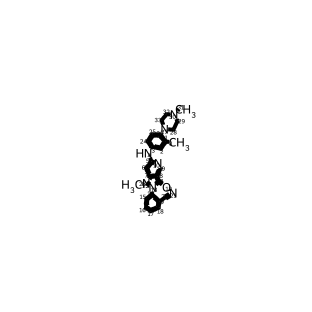 Cc1cc(Nc2cc3c(cn2)c(=O)n(-c2ccccc2C#N)n3C)ccc1N1CCN(C)CC1